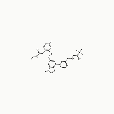 CCOC(=O)Cc1ccc(C)cc1OCc1cc(-c2ccnc(CNC[S+]([O-])C(C)(C)C)c2)c2ccn(C)c2c1